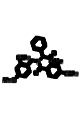 COC(=O)[C@H](c1ccccc1)N(Cc1ccc(OC)cc1OC)C(=O)c1ccc(OC)cc1